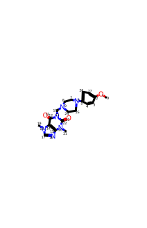 COc1ccc(N2CCN(Cn3c(=O)c4c(ncn4C)n(C)c3=O)CC2)cc1